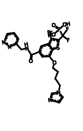 O=C(NCc1cccnn1)c1cc(OCCCCn2ccnc2)c2sc(C(F)(F)P(=O)(O)O)c(Br)c2c1